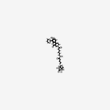 O=C(CCCC[C@@H]1SC[C@@H]2NC(=O)N[C@@H]21)NCCCCCC(=O)N1CCc2c(c(=O)oc3c(C4OCCCO4)c(O)ccc23)C1